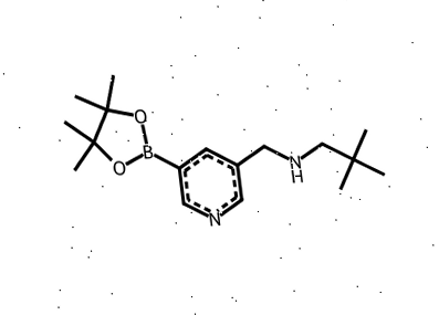 CC(C)(C)CNCc1cncc(B2OC(C)(C)C(C)(C)O2)c1